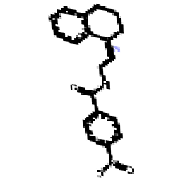 O=C(NC/C=C1/CCCc2ccccc21)c1ccc([N+](=O)[O-])cc1